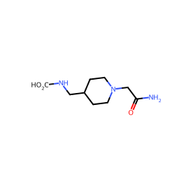 NC(=O)CN1CCC(CNC(=O)O)CC1